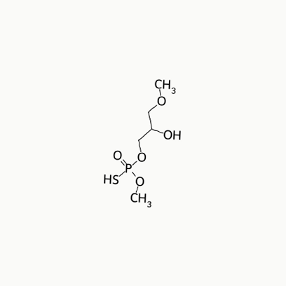 COCC(O)COP(=O)(S)OC